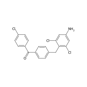 Nc1cc(Cl)c(Cc2ccc(C(=O)c3ccc(Cl)cc3)cc2)c(Cl)c1